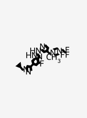 CC(c1ccnc(Nc2nc3c(F)cc(-c4cnn(CC5CC5)c4)cc3[nH]2)c1)N1CCN(CC(F)(F)F)CC1